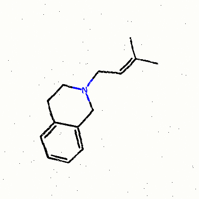 CC(C)=CCN1CCc2ccccc2C1